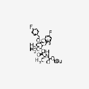 C[C@H](NC(=O)OC(C)(C)C)C(=O)O[C@@H](C)[C@H](Cc1ccc(F)cc1)C(C)(C)OCc1ccc(F)cc1